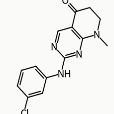 CN1CCC(=O)c2cnc(Nc3cccc(Cl)c3)nc21